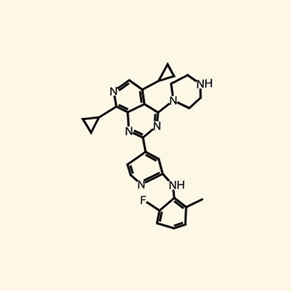 Cc1cccc(F)c1Nc1cc(-c2nc(N3CCNCC3)c3c(C4CC4)cnc(C4CC4)c3n2)ccn1